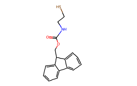 O=C(NCCS)OCC1c2ccccc2-c2ccccc21